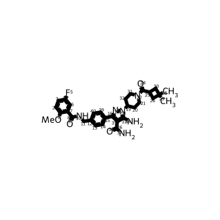 COc1ccc(F)cc1C(=O)NCc1ccc(-c2nn(C3CCN(C(=O)C4CC(C)(C)C4)CC3)c(N)c2C(N)=O)cc1